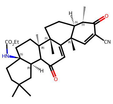 CCOC(=O)N[C@]12CCC(C)(C)C[C@@H]1C1C(=O)C=C3[C@@]4(C)C=C(C#N)C(=O)[C@@H](C)[C@@H]4CC[C@@]3(C)[C@]1(C)CC2